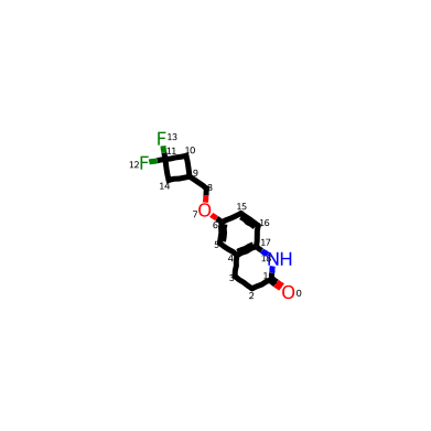 O=C1CCc2cc(OCC3CC(F)(F)C3)ccc2N1